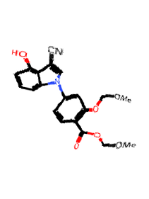 COCOC(=O)c1ccc(-n2cc(C#N)c3c(O)cccc32)cc1OCOC